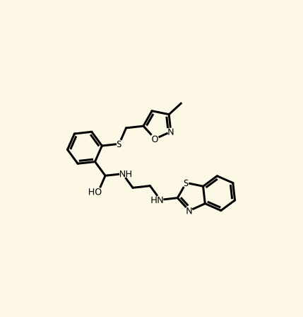 Cc1cc(CSc2ccccc2C(O)NCCNc2nc3ccccc3s2)on1